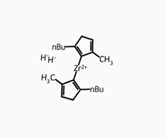 CCCCC1=[C]([Zr+2][C]2=C(CCCC)CC=C2C)C(C)=CC1.[H-].[H-]